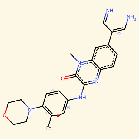 C\C=C(/C=C\C(=C(/C)CC)N1CCOCC1)Nc1nc2ccc(/C(C=N)=C/N)cc2n(C)c1=O